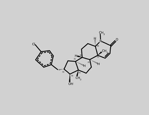 CN1C(=O)C=C[C@]2(C)[C@H]3CC[C@]4(C)[C@@H](O)[C@H](Cc5ccc(Cl)cc5)C[C@H]4[C@@H]3CC[C@@H]12